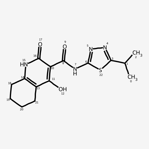 CC(C)c1nnc(NC(=O)c2c(O)c3c([nH]c2=O)CCCC3)s1